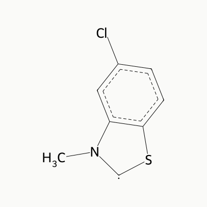 CN1[CH]Sc2ccc(Cl)cc21